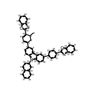 CC1CC(c2ccc3c(c2)c2cc(-c4ccc(-c5nc6ccccc6o5)cc4)ccc2n3-c2ccc3ccccc3c2)=CC=C1c1nc2ccccc2o1